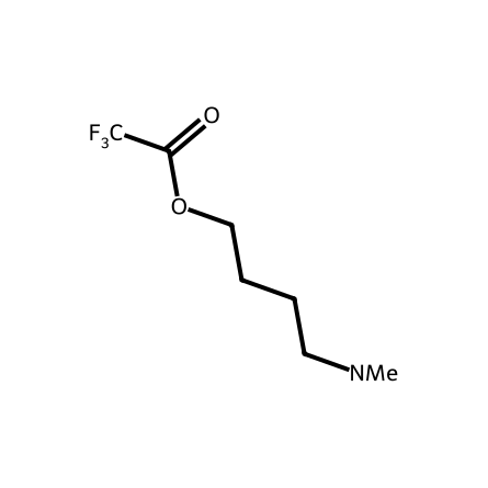 CNCCCCOC(=O)C(F)(F)F